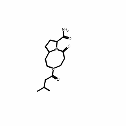 CC(C)CC(=O)N1CCC(=O)N2C(CCC2C(N)=O)CC1